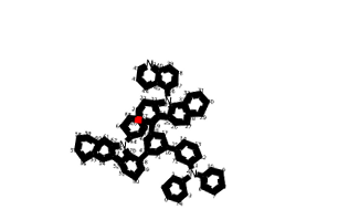 c1ccc(N(c2ccccc2)c2cccc(-c3cc(-c4cccc5c4c4ccc6ccccc6c4n5-c4cccc5ncccc45)cc(-c4cccc5c6cc7ccccc7cc6n(-c6ccccc6)c45)c3)c2)cc1